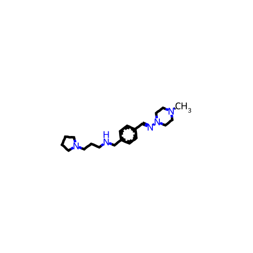 CN1CCN(/N=C/c2ccc(CNCCCN3CCCC3)cc2)CC1